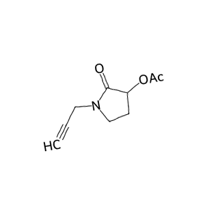 C#CCN1CCC(OC(C)=O)C1=O